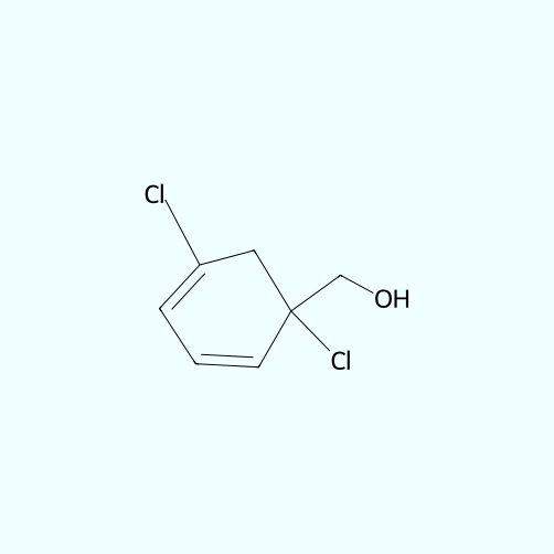 OCC1(Cl)C=CC=C(Cl)C1